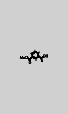 COC(=O)c1cccc(C(C)O)c1